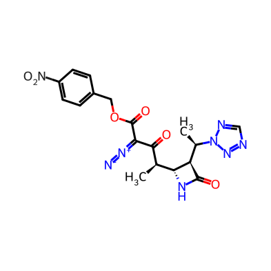 C[C@H]([C@H]1C(=O)N[C@@H]1[C@@H](C)C(=O)C(=[N+]=[N-])C(=O)OCc1ccc([N+](=O)[O-])cc1)n1ncnn1